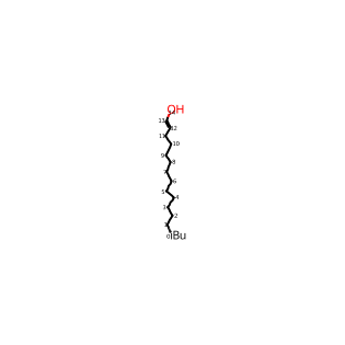 CCC(C)CCCCCCCCCCCC=CO